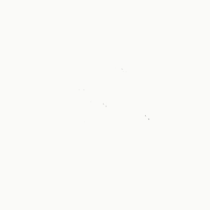 CC(=O)OCCN1C(=O)C(C)SC1c1cccnc1